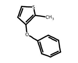 Cc1sccc1Oc1ccccc1